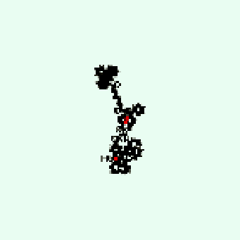 O=C(CCCCCCC(=O)Nc1ccc(C(=O)N(CCNC(=O)c2ccc(C(=O)O)c(C3=c4cc5c6c(c4Oc4c3cc3c7c4CCCN7CCCC3)CCC[N+]=6CCCC5)c2)Cc2ccc(C(=O)c3ccccc3)cc2)cc1)NOC(c1ccccc1)(c1ccccc1)c1ccccc1